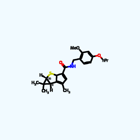 CCCOc1ccc(CNC(=O)C2=CC(C)=C3C2S[C@@H]2[C@H]3C2(C)C)c(OC)c1